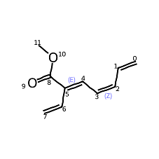 C=C/C=C\C=C(/C=C)C(=O)OC